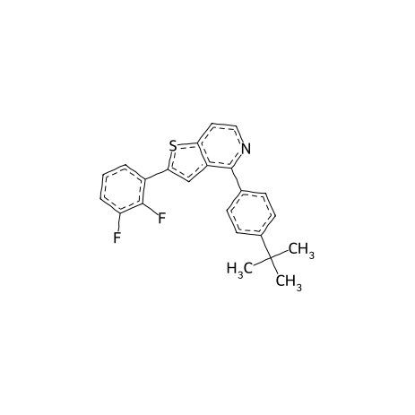 CC(C)(C)c1ccc(-c2nccc3sc(-c4cccc(F)c4F)cc23)cc1